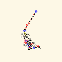 CC[C@]1(O)C[C@H]2CN(CCc3c([nH]c4ccccc34)[C@@](C(=O)OC)(c3cc4c(cc3OC)N(C)[C@H]3[C@@](O)(C(=O)NCCC[Si](C)(C)OCS(C)(C)CSc5ncc(COCCOCCOCCOCCOCCOCCN=[N+]=[N-])cn5)[C@H](O)[C@]5(CC)C=CCN6CC[C@]43[C@@H]65)C2)C1